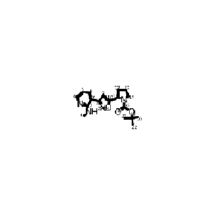 CNc1ncccc1-c1cc(C2CCCN2C(=O)OC(C)(C)C)on1